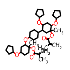 C=C(C)C(=O)OC1(C)CCC(OC2CCCC2)CC1OC1CCC(C2CC(C)(OC(=O)C(=C)C)C(OC3CCCC3)CC2OC2CCCC2)CC1